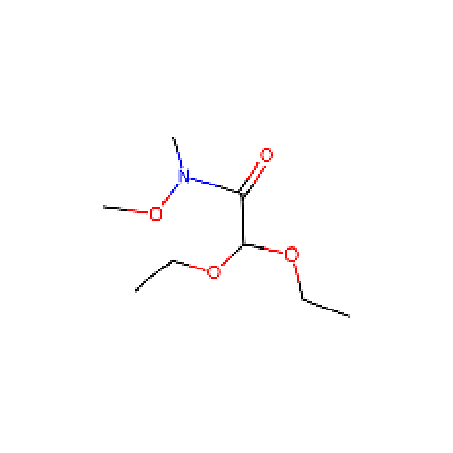 CCOC(OCC)C(=O)N(C)OC